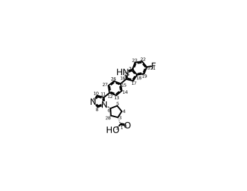 O=C(O)[C@H]1CC[C@@H](n2cncc2-c2ccc(-c3cc4cc(F)ccc4[nH]3)cc2)C1